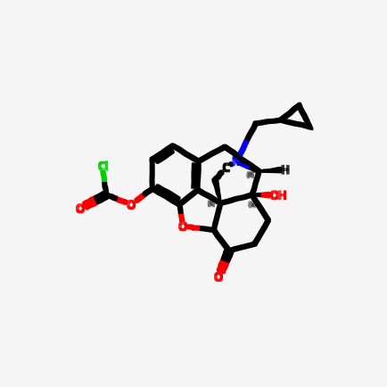 O=C(Cl)Oc1ccc2c3c1OC1C(=O)CC[C@@]4(O)[C@@H](C2)N(CC2CC2)CC[C@]314